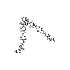 C=CC(=O)OCCC[C@H]1CC[C@H](CCc2ccc(C(=O)O[C@@H]3CCCC[C@H]3OC(=O)c3ccc(CC[C@H]4CC[C@H](CCCOC(=O)C=C)CC4)cc3)cc2)CC1